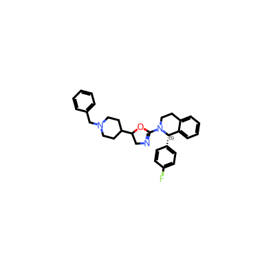 Fc1ccc([C@H]2c3ccccc3CCN2C2=NCC(C3CCN(Cc4ccccc4)CC3)O2)cc1